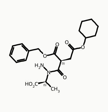 C[C@@H](C(=O)O)N(N)C(=O)[C@H](CC(=O)OC1CCCCC1)C(=O)OCc1ccccc1